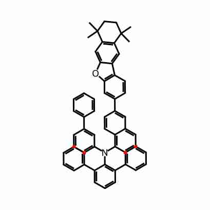 CC1(C)CCC(C)(C)c2cc3c(cc21)oc1cc(-c2ccc4c(N(c5cccc(-c6ccccc6)c5)c5c(-c6ccccc6)cccc5-c5ccccc5)cccc4c2)ccc13